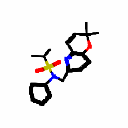 CC(C)S(=O)(=O)N(Cc1ccc2c(n1)C=CC(C)(C)O2)c1ccccc1